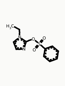 CCn1ccnc1OS(=O)(=O)c1ccccc1